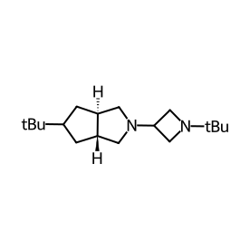 CC(C)(C)C1C[C@H]2CN(C3CN(C(C)(C)C)C3)C[C@@H]2C1